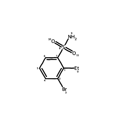 CCc1c(Br)cccc1S(N)(=O)=O